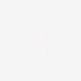 CCC(C)N(CC(O)c1cccn1Cc1ccccc1Cl)C(C)CC